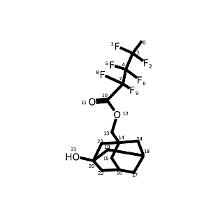 CC(F)(F)C(F)(F)C(F)(F)C(=O)OCC12CC3CC(CC(O)(C3)C1)C2